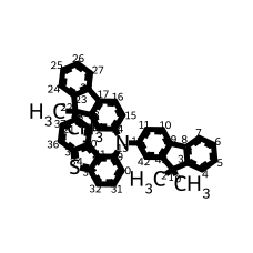 CC1(C)c2ccccc2-c2ccc(N(c3ccc4c(c3)C(C)(C)c3ccccc3-4)c3cccc4sc5ccccc5c34)cc21